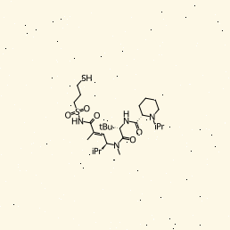 C/C(=C\[C@H](C(C)C)N(C)C(=O)[C@@H](NC(=O)[C@@H]1CCCCN1C(C)C)C(C)(C)C)C(=O)NS(=O)(=O)CCCS